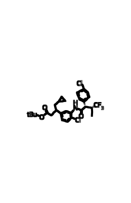 C[C@H]([C@H](C(=O)Nc1cc(C(CC(=O)OC(C)(C)C)CC2CC2)ccc1Cl)c1ccc(Cl)cc1)C(F)(F)F